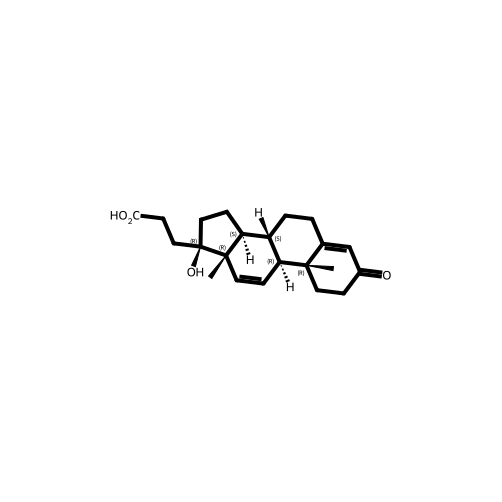 C[C@]12CCC(=O)C=C1CC[C@@H]1[C@@H]2C=C[C@@]2(C)[C@H]1CC[C@@]2(O)CCC(=O)O